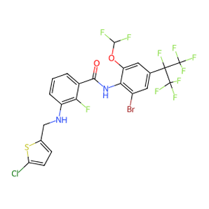 O=C(Nc1c(Br)cc(C(F)(C(F)(F)F)C(F)(F)F)cc1OC(F)F)c1cccc(NCc2ccc(Cl)s2)c1F